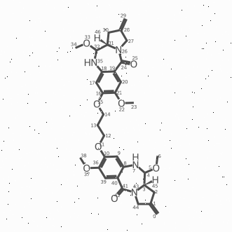 C=C1C[C@H]2C(OC)Nc3cc(OCCCOc4cc5c(cc4OC)C(=O)N4CC(=C)C[C@H]4C(OC)N5)c(OC)cc3C(=O)N2C1